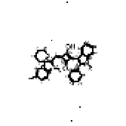 Cc1ccc2c(c1)C1(CCCCC1)C(/C=C1\C(=O)C(c3c(-c4ccccc4)n(C)c4ccccc34)=C1O)=[N+]2C